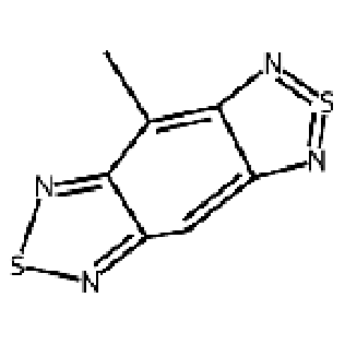 Cc1c2c(cc3nsnc13)N=S=N2